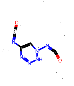 O=C=NC1=CN(N=C=O)NN=N1